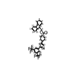 O=C(OCC1c2ccccc2-c2ccccc21)N1CCC(c2cnc(-c3cc(C(F)(F)F)cc(C(F)(F)F)c3)s2)CC1